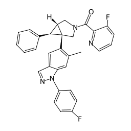 Cc1cc2c(cnn2-c2ccc(F)cc2)cc1[C@]12CN(C(=O)c3ncccc3F)C[C@H]1[C@@H]2c1ccccc1